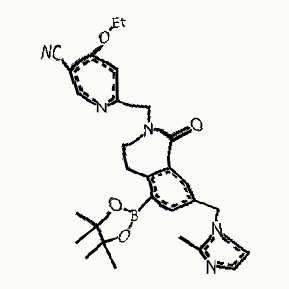 CCOc1cc(CN2CCc3c(B4OC(C)(C)C(C)(C)O4)cc(Cn4ccnc4C)cc3C2=O)ncc1C#N